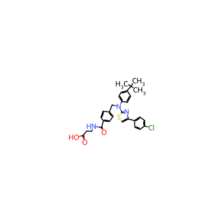 CC(C)(C)c1ccc(N(Cc2ccc(C(=O)NCCC(=O)O)cc2)c2nc(-c3ccc(Cl)cc3)cs2)cc1